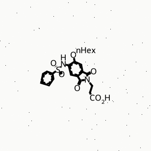 CCCCCCOc1cc2c(cc1NS(=O)(=O)c1ccccc1)C(=O)N(CCC(=O)O)C2=O